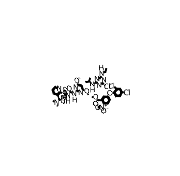 CCNc1nc(Cl)nc(NC(C)C)n1.COC(=O)c1cc(Oc2ccc(Cl)cc2Cl)ccc1[N+](=O)[O-].COc1cc(OC)nc(NC(=O)NS(=O)(=O)c2ncccc2C(=O)N(C)C)n1